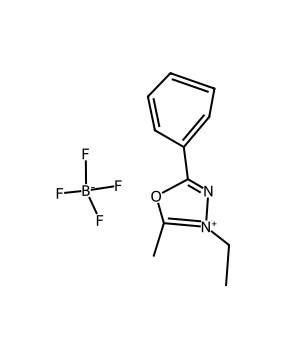 CC[n+]1nc(-c2ccccc2)oc1C.F[B-](F)(F)F